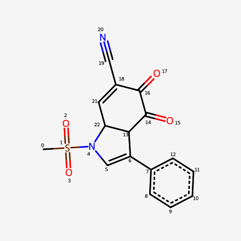 CS(=O)(=O)N1C=C(c2ccccc2)C2C(=O)C(=O)C(C#N)=CC21